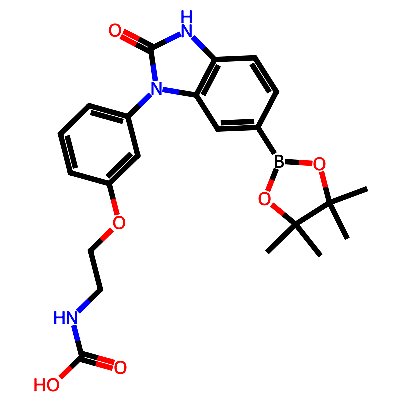 CC1(C)OB(c2ccc3[nH]c(=O)n(-c4cccc(OCCNC(=O)O)c4)c3c2)OC1(C)C